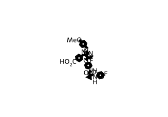 COc1ccc(Cn2nc(-c3ccc(C(=O)O)cc3)c3c(Oc4ccc(NC(=O)C5(C(=O)Nc6ccc(F)cc6)CC5)cc4F)ccnc32)cc1